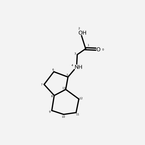 O=C(O)CNC1CCC2CCCCC21